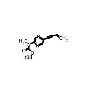 C=CC#Cc1cnc(N(C)C(=O)OC(C)(C)C)cn1